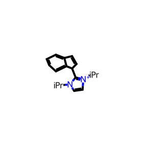 CC(C)n1cc[n+](C(C)C)c1C1C=Cc2ccccc21